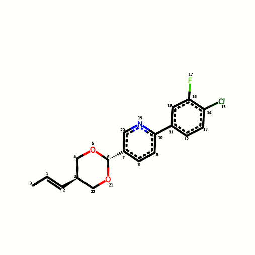 CC=C[C@H]1CO[C@H](c2ccc(-c3ccc(Cl)c(F)c3)nc2)OC1